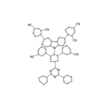 N#Cc1cccc(-c2cc(-c3nc(-c4ccccc4)nc(-c4ccccc4)n3)cc(-c3cccc(C#N)c3)c2-n2c3ccc(-c4ccc(C#N)cc4C#N)cc3c3cc(-c4ccc(C#N)cc4C#N)ccc32)c1